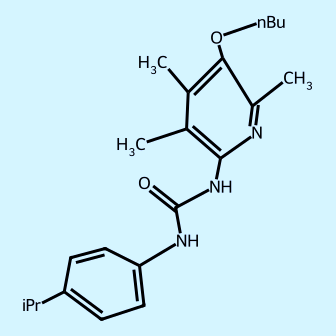 CCCCOc1c(C)nc(NC(=O)Nc2ccc(C(C)C)cc2)c(C)c1C